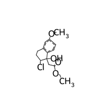 CCOC(=O)CC1(O)c2ccc(OC)cc2CCC1Cl